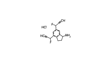 C#CC(F)c1cc(C(F)C#C)c2c(c1)C(N)CC2.Cl